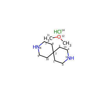 C1CC2(CCN1)CCNCC2.COC.Cl